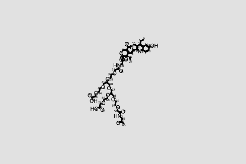 CCc1c2c(nc3ccc(O)cc13)-c1cc3c(c(=O)n1C2)COC(=O)[C@@]3(CC)OC(=O)CNC(=O)COCCOC(COCCOCC(=O)O)COCC(COCCOCC(=O)NCC(C)=O)OCCOCC(=O)O